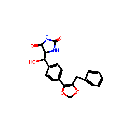 O=C1NC(=O)C(C(O)c2ccc(C3=C(Cc4ccccc4)OCO3)cc2)N1